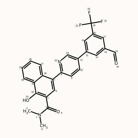 CN(C)C(=O)c1cc(-c2ccc(-c3cc(C=O)cc(C(F)(F)F)c3)cn2)c2ccccc2c1O